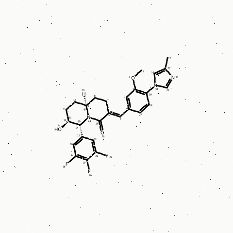 COc1cc(C=C2CC[C@@H]3CC[C@H](O)[C@@H](c4cc(F)c(F)c(F)c4)N3C2=O)ccc1-n1cnc(C)c1